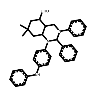 CC1(C)CC(C=O)C2CN(c3ccccc3)C(c3ccccc3)N(c3ccc(Nc4ccccc4)cc3)C2C1